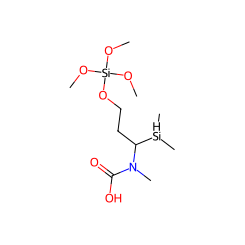 CO[Si](OC)(OC)OCCC(N(C)C(=O)O)[SiH](C)C